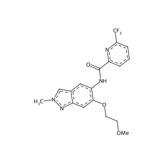 COCCOc1cc2nn(C)cc2cc1NC(=O)c1cccc(C(F)(F)F)n1